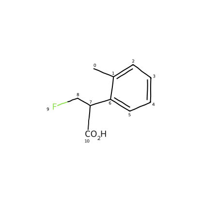 Cc1ccccc1C(CF)C(=O)O